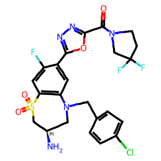 N[C@@H]1CN(Cc2ccc(Cl)cc2)c2cc(-c3nnc(C(=O)N4CCC(F)(F)C4)o3)c(F)cc2S(=O)(=O)C1